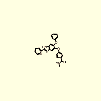 CN(C)C(=O)c1ccc(Oc2cc3nc(-c4ccccn4)[nH]c3cc2Oc2ccccc2)cc1